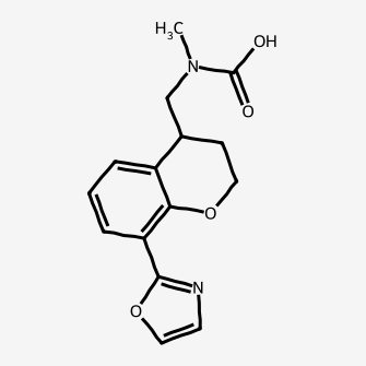 CN(CC1CCOc2c(-c3ncco3)cccc21)C(=O)O